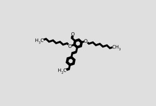 C=Cc1ccc(C=Cc2cc(OCCCCCCCC)cc(C=O)c2OCCCCCCCC)cc1